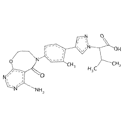 Cc1cc(N2CCOc3ncnc(N)c3C2=O)ccc1-c1cnn(C(C(=O)O)C(C)C)c1